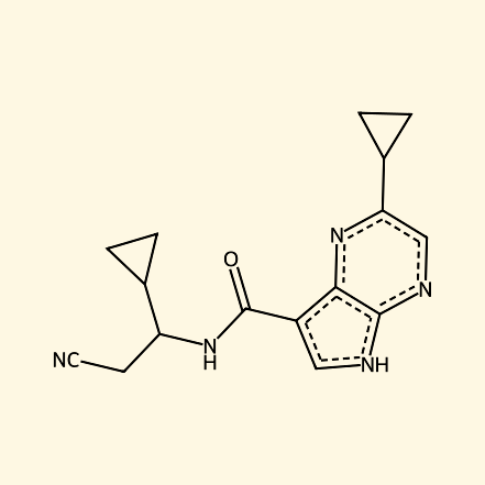 N#CCC(NC(=O)c1c[nH]c2ncc(C3CC3)nc12)C1CC1